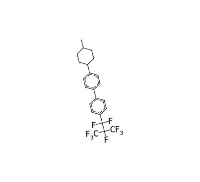 CC1CCC(c2ccc(-c3ccc(C(F)(F)C(F)(C(F)(F)F)C(F)(F)F)cc3)cc2)CC1